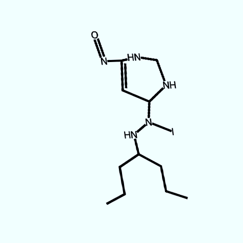 CCCC(CCC)NN(I)C1C=C(N=O)NCN1